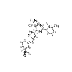 Cc1c(C#N)cccc1-c1nc(N)c(Cl)c(-c2cn(Cc3cccc(P(C)(C)=O)c3)nn2)n1